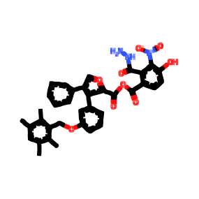 Cc1cc(C)c(C)c(COc2cccc(-c3c(-c4ccccc4)coc3C(=O)OC(=O)c3ccc(O)c([N+](=O)[O-])c3C(=O)NN)c2)c1C